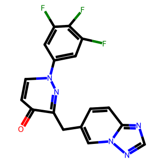 O=c1ccn(-c2cc(F)c(F)c(F)c2)nc1Cc1ccc2ncnn2c1